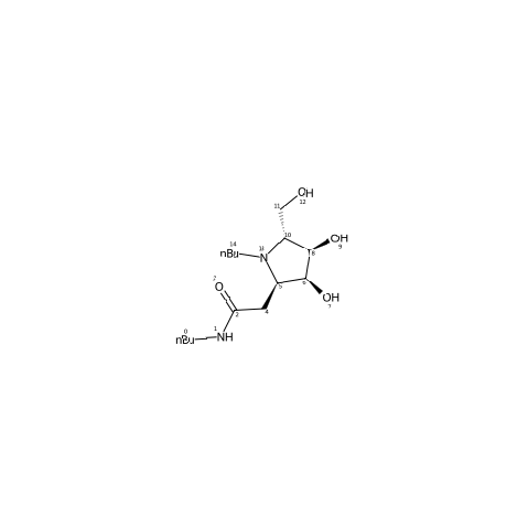 CCCCNC(=O)C[C@@H]1[C@H](O)[C@H](O)[C@@H](CO)N1CCCC